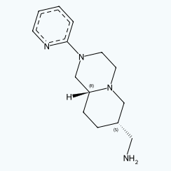 NC[C@@H]1CC[C@@H]2CN(c3ccccn3)CCN2C1